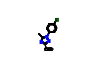 Cc1nc([C]=O)nn1-c1ccc(Cl)cc1